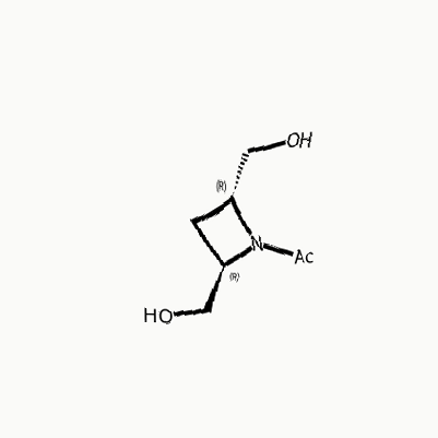 CC(=O)N1[C@@H](CO)C[C@@H]1CO